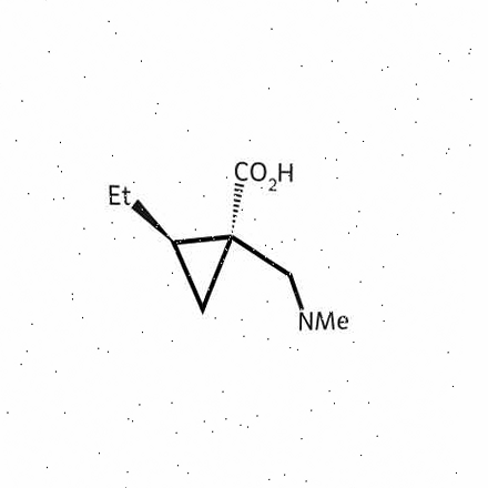 CC[C@@H]1C[C@@]1(CNC)C(=O)O